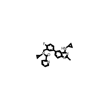 Cc1nc(NC2CC2)c2cc(-c3ccc(F)c(CN(C(=O)c4ccccn4)C4CC4)c3)ccc2n1